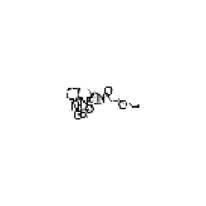 C=CCOCCC(=O)N1CC[C@@H](n2c(S(C)(=O)=O)nc3ccccc32)[C@H](C)C1